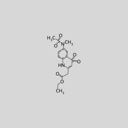 CCOC(=O)CC1=CS(=O)(=O)c2cc(N(C)S(C)(=O)=O)ccc2N1